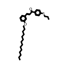 CCCCCCCCCCCCCCOc1cccc(/C=C/C(=O)c2ccc(SCCC)cc2)c1